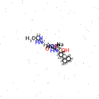 Cc1ccnc(NCCCC(=O)NCC(=O)NC(CC(=O)O)c2ccc(-c3cccc4ccccc34)cc2O)c1.[Na]